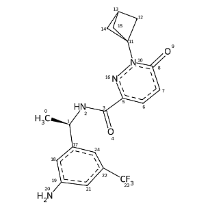 C[C@@H](NC(=O)c1ccc(=O)n(C23CC(C2)C3)n1)c1cc(N)cc(C(F)(F)F)c1